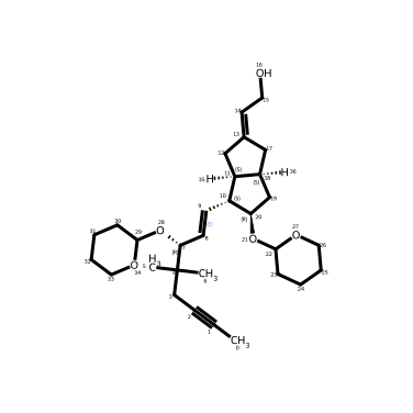 CC#CCC(C)(C)[C@@H](/C=C/[C@@H]1[C@H]2CC(=CCO)C[C@H]2C[C@H]1OC1CCCCO1)OC1CCCCO1